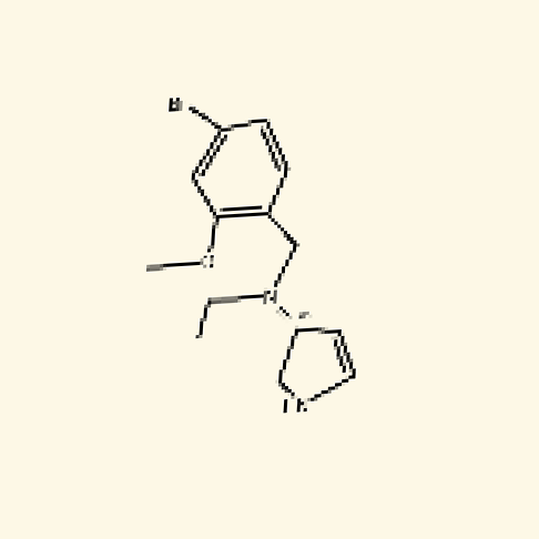 CCN(Cc1ccc(Br)cc1OC)[C@@H]1C=CNC1